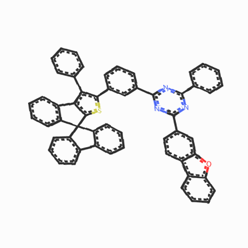 c1ccc(-c2nc(-c3cccc(-c4sc5c(c4-c4ccccc4)-c4ccccc4C54c5ccccc5-c5ccccc54)c3)nc(-c3ccc4c(c3)oc3ccccc34)n2)cc1